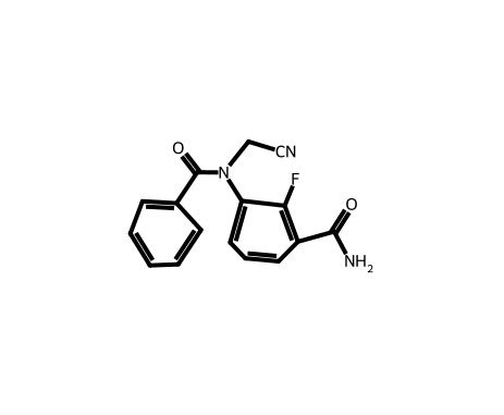 N#CCN(C(=O)c1ccccc1)c1cccc(C(N)=O)c1F